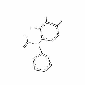 NC(=O)N(c1ccccc1)c1ccc(Cl)c(Cl)c1O